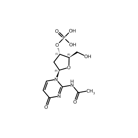 CC(=O)Nc1nc(=O)ccn1[C@H]1C[C@H](OP(=O)(O)O)[C@@H](CO)O1